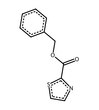 O=C(OCc1ccccc1)c1nccs1